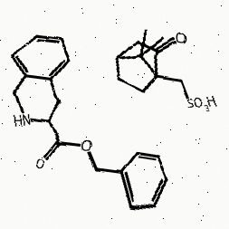 CC1(C)C2CCC1(CS(=O)(=O)O)C(=O)C2.O=C(OCc1ccccc1)C1Cc2ccccc2CN1